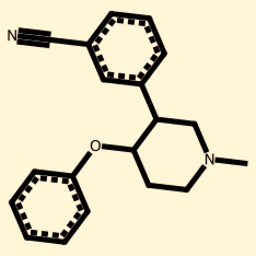 CN1CCC(Oc2ccccc2)C(c2cccc(C#N)c2)C1